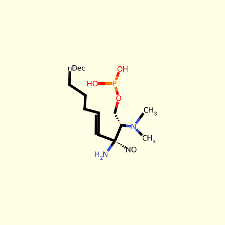 CCCCCCCCCCCCC/C=C/[C@@](N)(N=O)[C@H](COP(O)O)N(C)C